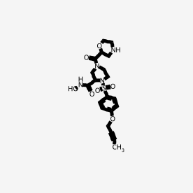 CC#CCOc1ccc(S(=O)(=O)N2CCN(C(=O)C3CNCCO3)CC2C(=O)NO)cc1